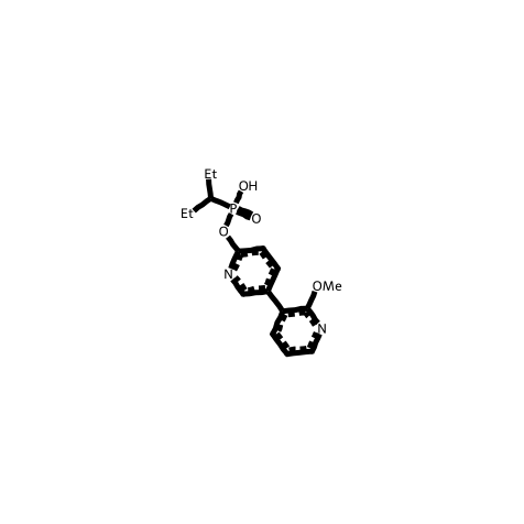 CCC(CC)P(=O)(O)Oc1ccc(-c2cccnc2OC)cn1